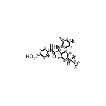 O=C(O)c1ccc(NC(=O)C(Nc2ccc(F)cc2F)c2ccc(S(=O)(=O)C3CC3)cc2)nc1